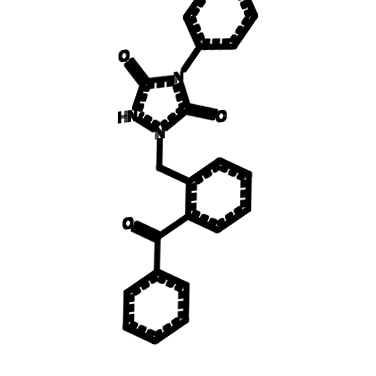 O=C(c1ccccc1)c1ccccc1Cn1[nH]c(=O)n(-c2ccccc2)c1=O